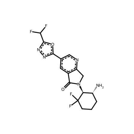 N[C@@H]1CCCC(F)(F)[C@H]1N1Cc2ncc(-c3nnc(C(F)F)o3)cc2C1=O